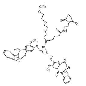 COCCOCCOCCN(CCCC(=O)NCCN1C(=O)CCC1=O)c1cc(COc2cc3c(cc2OC)C(O)N2c4ccccc4C[C@H]2C=N3)cc(COc2cc3c(cc2OC)C(=O)N2c4ccccc4C[C@H]2CN3)c1